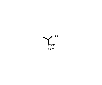 CC(C(=O)[O-])C(=O)[O-].[Ca+2]